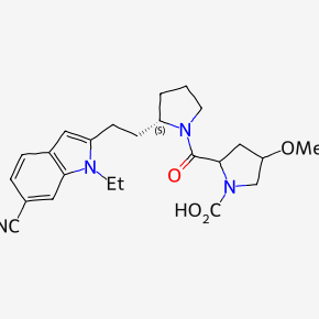 CCn1c(CC[C@@H]2CCCN2C(=O)C2CC(OC)CN2C(=O)O)cc2ccc(C#N)cc21